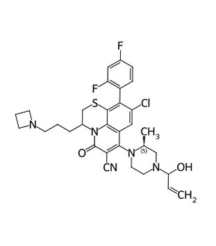 C=CC(O)N1CCN(c2c(C#N)c(=O)n3c4c(c(-c5ccc(F)cc5F)c(Cl)cc24)SCC3CCCN2CCC2)[C@@H](C)C1